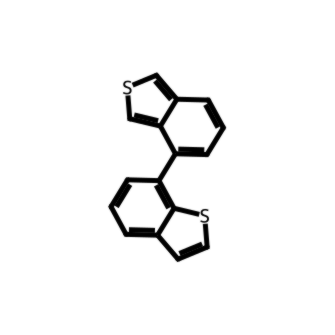 c1cc(-c2cccc3ccsc23)c2cscc2c1